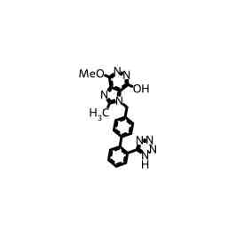 COc1nnc(O)c2c1nc(C)n2Cc1ccc(-c2ccccc2-c2nnn[nH]2)cc1